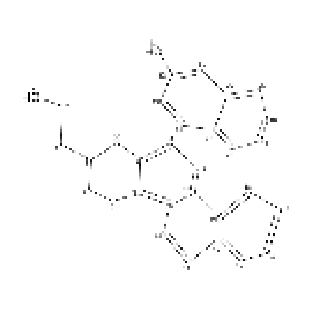 OCCC1CCc2c(ccc3c2ccc2ccccc23)C1.Oc1ccc2ccccc2c1